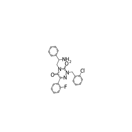 NC(Cn1c(=O)c(-c2ccccc2F)nn(Cc2ccccc2Cl)c1=O)c1ccccc1